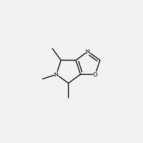 CC1c2ncoc2C(C)N1C